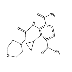 NC(=O)c1ccc(C(N)=O)c(C2CC2)c1NC(=O)CN1CCOCC1